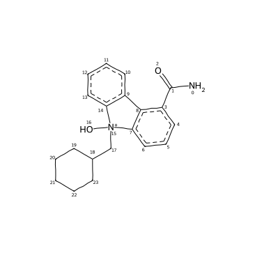 NC(=O)c1cccc2c1-c1ccccc1[N+]2(O)CC1CCCCC1